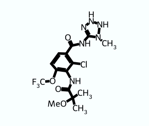 COC(C)(C)C(=O)Nc1c(OC(F)(F)F)ccc(C(=O)NC2=NNNN2C)c1Cl